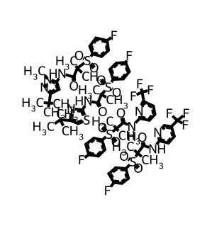 CC(C)(C(=O)Nc1ccc(C(F)(F)F)cn1)S(=O)(=O)c1ccc(F)cc1.CC(C)(C(=O)Nc1cccc(C(F)(F)F)n1)S(=O)(=O)c1ccc(F)cc1.CC(C)(C)c1csc(NC(=O)C(C)(C)S(=O)(=O)c2ccc(F)cc2)n1.Cn1nc(C(C)(C)C)cc1NC(=O)C(C)(C)S(=O)(=O)c1ccc(F)cc1